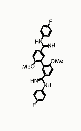 COc1ccc(C(=N)Nc2ccc(F)cc2)cc1-c1cc(C(=N)Nc2ccc(F)cc2)ccc1OC